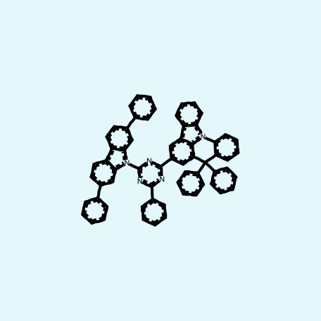 c1ccc(-c2ccc3c4ccc(-c5ccccc5)cc4n(-c4nc(-c5ccccc5)nc(-c5cc6c7c(c5)c5ccccc5n7-c5ccccc5C6(c5ccccc5)c5ccccc5)n4)c3c2)cc1